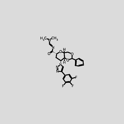 CN(C)/C=N/C(=O)[C@H]1C[C@@H](n2cc(-c3cc(F)c(F)c(F)c3)nn2)[C@H]2OC(c3ccccc3)OC[C@H]2O1